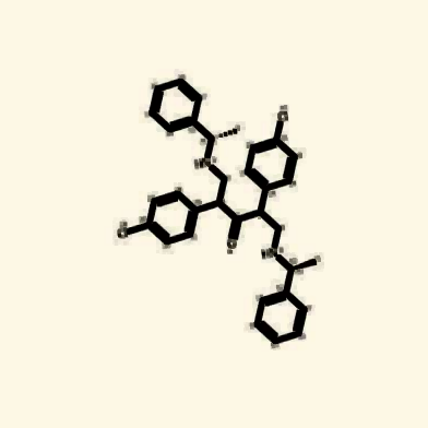 C[C@H](NCC(C(=O)C(CN[C@@H](C)c1ccccc1)c1ccc(Cl)cc1)c1ccc(Cl)cc1)c1ccccc1